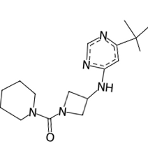 CC(C)(C)c1cc(NC2CN(C(=O)N3CCCCC3)C2)ncn1